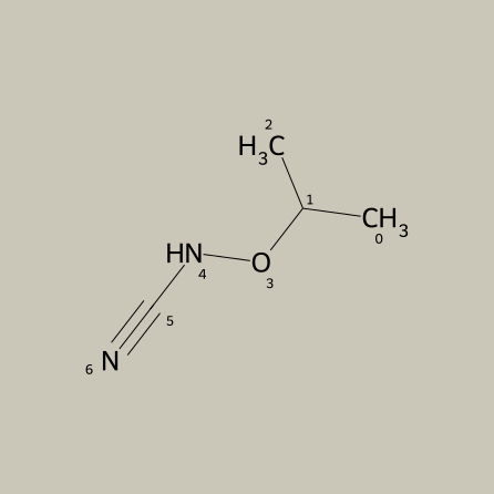 CC(C)ONC#N